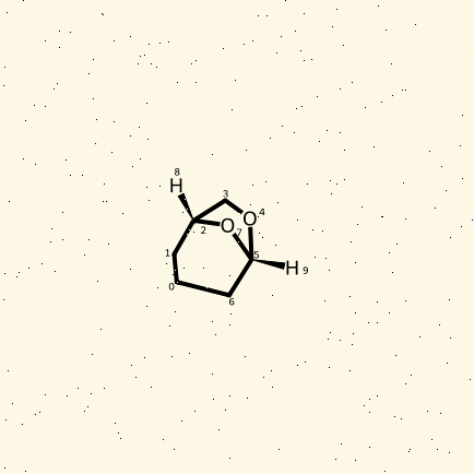 C1C[C@@H]2CO[C@H](C1)O2